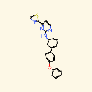 c1ccc(Oc2ccc(-c3cccc(Nc4nccc(-c5nccs5)n4)c3)cc2)cc1